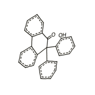 O=C1c2ccccc2-c2ccccc2C1(c1ccccc1)c1ccccc1O